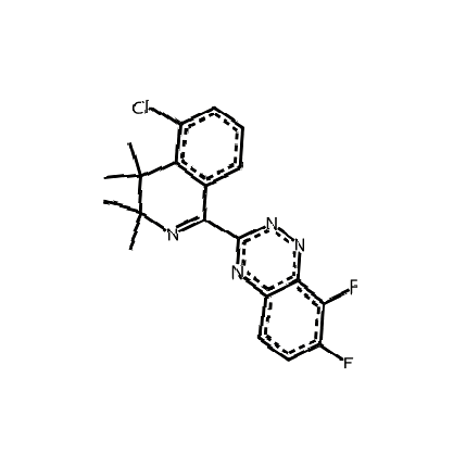 CC1(C)N=C(c2nnc3c(F)c(F)ccc3n2)c2cccc(Cl)c2C1(C)C